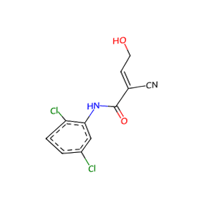 N#CC(=CCO)C(=O)Nc1cc(Cl)ccc1Cl